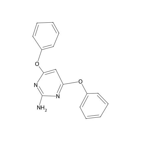 Nc1nc(Oc2ccccc2)cc(Oc2ccccc2)n1